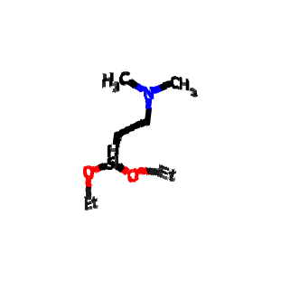 CCO[SiH](CCN(C)C)OCC